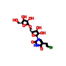 O=c1[nH]c(=O)n([C@@H]2O[C@H](COC3O[C@H](CO)[C@@H](O)[C@@H]3O)[C@@H](O)[C@H]2O)cc1/C=C/Br